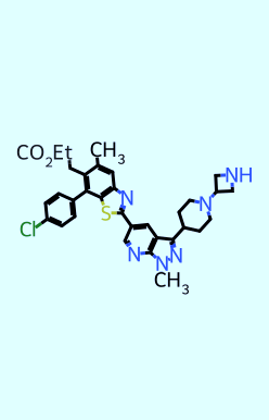 CCOC(=O)Cc1c(C)cc2nc(-c3cnc4c(c3)c(C3CCN(C5CNC5)CC3)nn4C)sc2c1-c1ccc(Cl)cc1